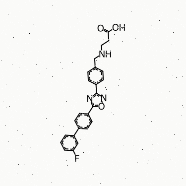 O=C(O)CCNCc1ccc(-c2noc(-c3ccc(-c4cccc(F)c4)cc3)n2)cc1